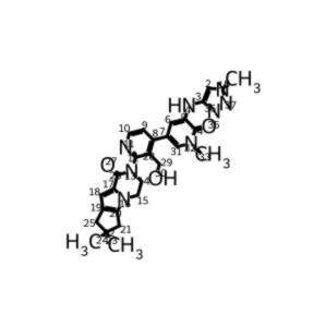 Cn1cc(Nc2cc(-c3ccnc(N4CCn5c(cc6c5CC(C)(C)C6)C4=O)c3CO)cn(C)c2=O)nn1